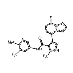 CSc1ncc(NC(=O)c2c(-c3ccc(F)c4nccn34)n[nH]c2C(F)(F)F)cc1C(F)(F)F